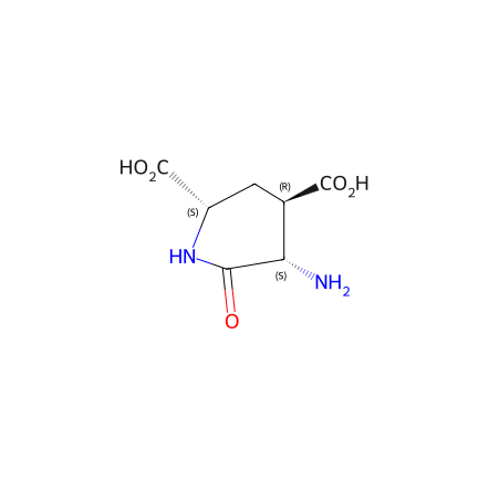 N[C@@H]1C(=O)N[C@H](C(=O)O)C[C@H]1C(=O)O